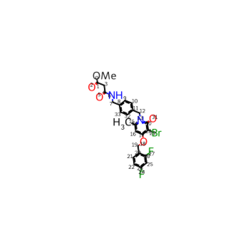 COC(=O)CC(=O)NCc1ccc(Cn2c(C)cc(OCc3ccc(F)cc3F)c(Br)c2=O)cc1